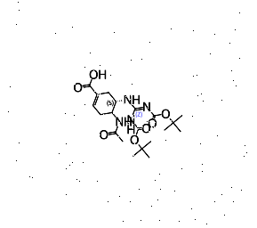 CC(=O)NC1CC=C(C(=O)O)C[C@@H]1N/C(=N/C(=O)OC(C)(C)C)NC(=O)OC(C)(C)C